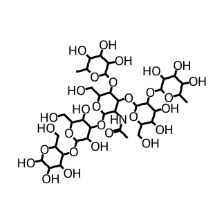 CC(=O)NC1C(OC2C(O)C(CO)OC(OC3C(CO)OC(O)C(O)C3O)C2O)OC(CO)C(OC2OC(C)C(O)C(O)C2O)C1OC1OC(CO)C(O)C(O)C1OC1OC(C)C(O)C(O)C1O